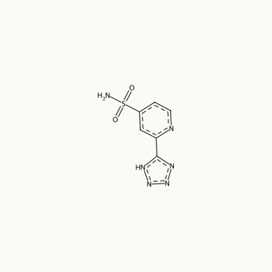 NS(=O)(=O)c1ccnc(-c2nnn[nH]2)c1